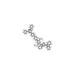 Cc1cc(-n2c3ccccc3c3cc(-n4c5ccccc5c5ccccc54)ccc32)c(C)cc1-c1ccc(-c2ccc(-c3cc(-c4ccccc4)nc(-c4ccccc4)n3)cc2)cc1